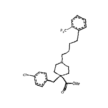 COC(=O)C1(Cc2ccc(Cl)cc2)CCN(CCCCc2ccccc2C(F)(F)F)CC1